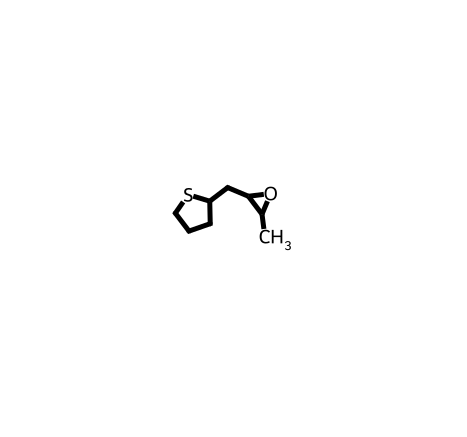 CC1OC1CC1CCCS1